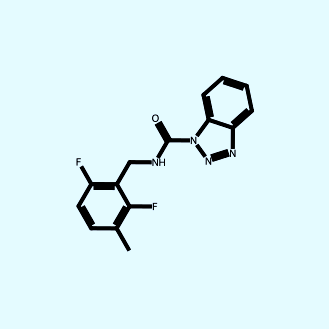 Cc1ccc(F)c(CNC(=O)n2nnc3ccccc32)c1F